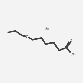 CCCCCCCCCC(=O)O.[Sm]